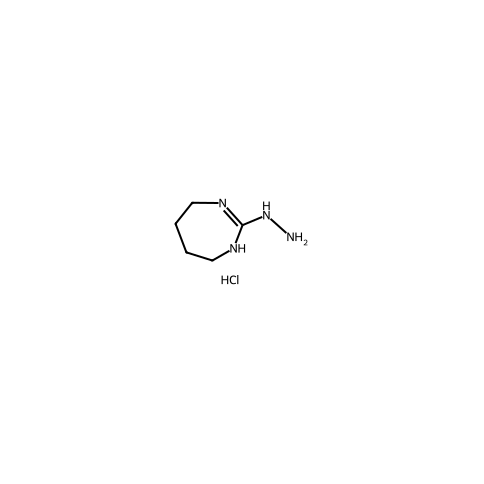 Cl.NNC1=NCCCCN1